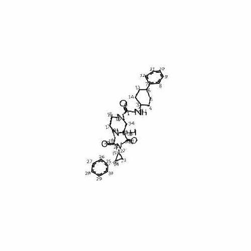 O=C(NC1CCC(c2ccccc2)CC1)N1CCN2C(=O)N([C@H]3C[C@@H]3c3ccccc3)C(=O)[C@@H]2C1